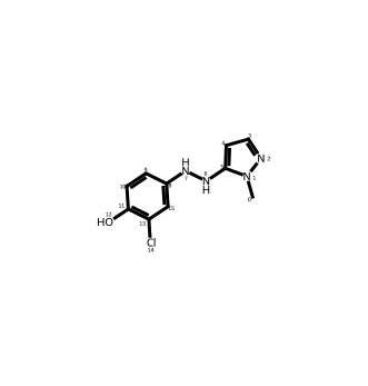 Cn1nccc1NNc1ccc(O)c(Cl)c1